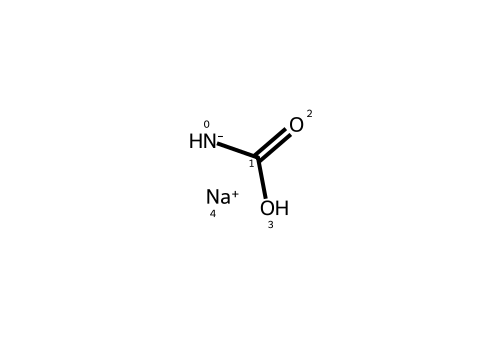 [NH-]C(=O)O.[Na+]